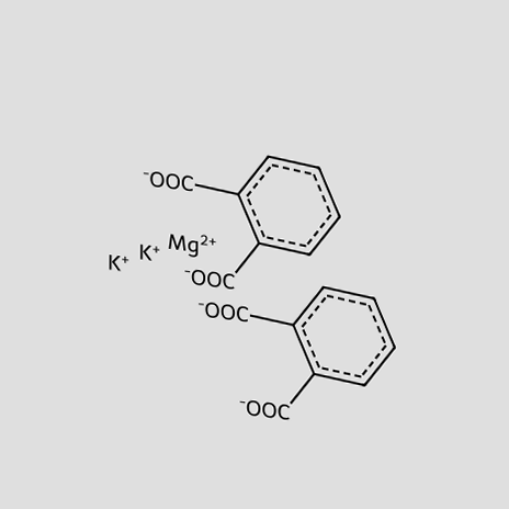 O=C([O-])c1ccccc1C(=O)[O-].O=C([O-])c1ccccc1C(=O)[O-].[K+].[K+].[Mg+2]